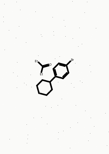 Brc1ccc(C2CCCCC2)cc1.CCC(=O)CC